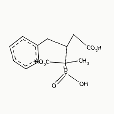 CC(C(=O)O)(C(CC(=O)O)Cc1ccccc1)[PH](=O)O